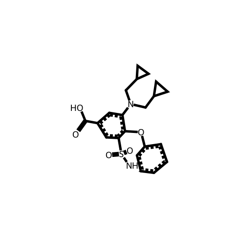 NS(=O)(=O)c1cc(C(=O)O)cc(N(CC2CC2)CC2CC2)c1Oc1ccccc1